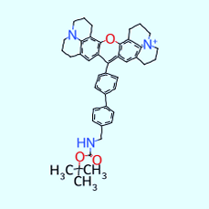 CC(C)(C)OC(=O)NCc1ccc(-c2ccc(C3=c4cc5c6c(c4Oc4c3cc3c7c4CCCN7CCC3)CCC[N+]=6CCC5)cc2)cc1